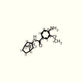 COc1cc(C(=O)NC2CC3CCC(C2)N3C)ccc1N